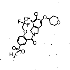 CS(=O)(=O)c1ccc(OCC(F)(F)C(F)(F)F)c(C(=O)N2Cc3cc(Cl)c(OC4CCOCC4)cc3C2)c1